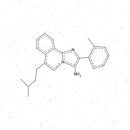 Cc1ccccc1-c1nc2c3ccccc3c(CCC(C)C)cn2c1N